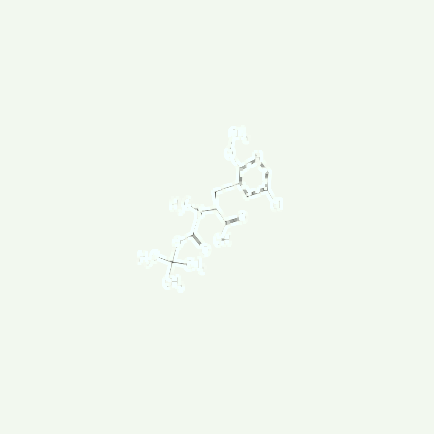 COc1ncc(Cl)cc1C[C@@H](C(=O)O)N(C)C(=O)OC(C)(C)C